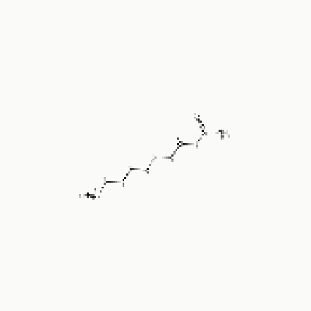 CCCCCCCCCCCCCOCC(N)=O